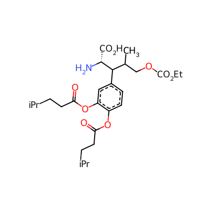 CCOC(=O)OCC(C)C(c1ccc(OC(=O)CCC(C)C)c(OC(=O)CCC(C)C)c1)[C@H](N)C(=O)O